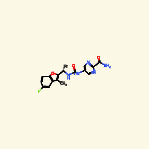 Cc1c([C@@H](NC(=O)Nc2cnc(C(N)=O)nc2)C(C)C)oc2ccc(F)cc12